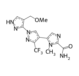 COCc1c[nH]nc1-n1cc(-c2cnc(C(N)=O)n2C)c(C(F)(F)F)n1